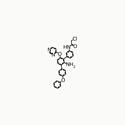 Nc1c(-c2ccc(Oc3ccccc3)cc2)ccc(Oc2ccncn2)c1-c1cccc(NC(=O)CCl)c1